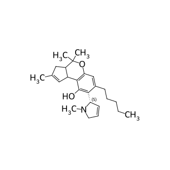 CCCCCc1cc2c(c(O)c1[C@@H]1C=CCN1C)C1C=C(C)CC1C(C)(C)O2